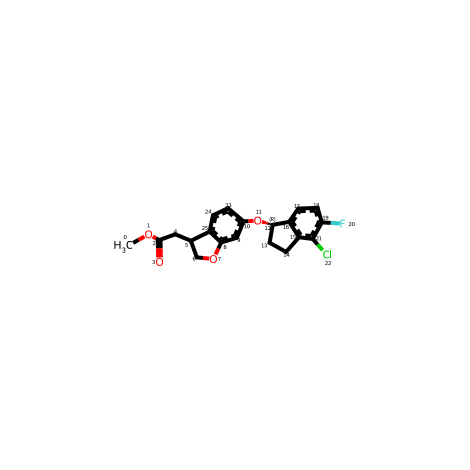 COC(=O)CC1COc2cc(O[C@@H]3CCc4c3ccc(F)c4Cl)ccc21